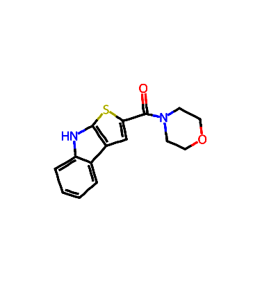 O=C(c1cc2c([nH]c3ccccc32)s1)N1CCOCC1